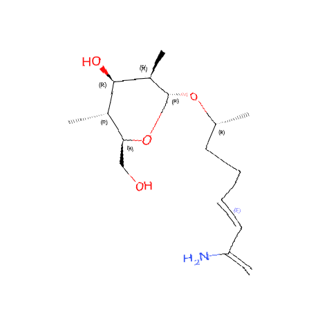 C=C(N)/C=C/CC[C@@H](C)O[C@@H]1O[C@@H](CO)[C@H](C)[C@@H](O)[C@H]1C